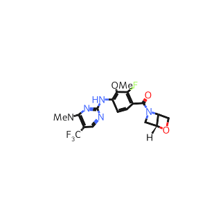 CNc1nc(Nc2ccc(C(=O)N3C[C@H]4OCC43)c(F)c2OC)ncc1C(F)(F)F